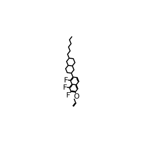 C=CCOc1cc2ccc(C3CCC4CC(CCCCCC)CCC4C3)c(F)c2c(F)c1F